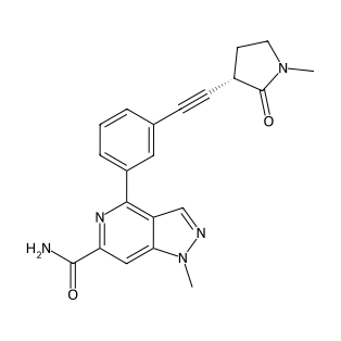 CN1CC[C@@H](C#Cc2cccc(-c3nc(C(N)=O)cc4c3cnn4C)c2)C1=O